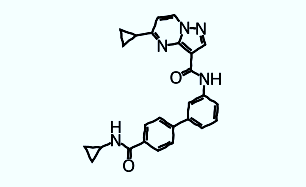 O=C(NC1CC1)c1ccc(-c2cccc(NC(=O)c3cnn4ccc(C5CC5)nc34)c2)cc1